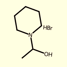 Br.CC(O)N1CCCCC1